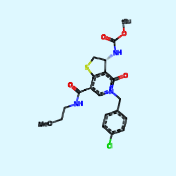 COCCNC(=O)c1cn(Cc2ccc(Cl)cc2)c(=O)c2c1SC[C@@H]2NC(=O)OC(C)(C)C